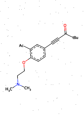 CC(=O)c1cc(C#CC(=O)C(C)(C)C)ccc1OCCN(C)C